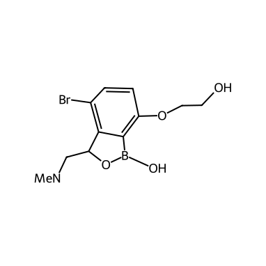 CNCC1OB(O)c2c(OCCO)ccc(Br)c21